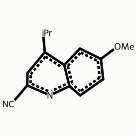 COc1ccc2nc(C#N)cc(C(C)C)c2c1